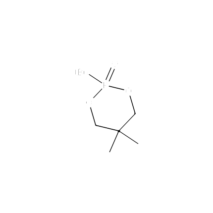 CC1(C)COP(=O)(C(C)(C)C)OC1